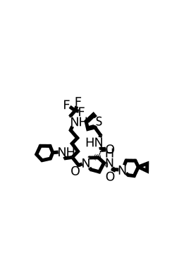 O=C(NCc1cccs1)[C@H]1CN(C(=O)C(CCCCNCC(F)(F)F)CNC2CCCCC2)CC[C@H]1NC(=O)N1CCC2(CC1)CC2